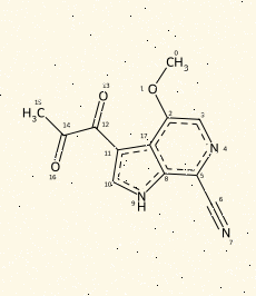 COc1cnc(C#N)c2[nH]cc(C(=O)C(C)=O)c12